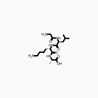 CC(C)C[C@H](NC(=O)CN)C(=O)N[C@@H](CCCCN)C(=O)N[C@@H](C)C(=O)O